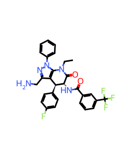 CCN1C(=O)[C@H](NC(=O)c2cccc(C(F)(F)F)c2)[C@@H](c2ccc(F)cc2)c2c(CN)nn(-c3ccccc3)c21